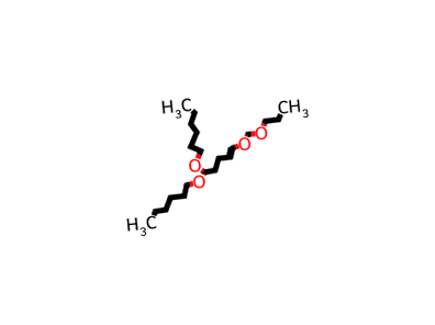 CCCCCCOC(CCC=COCOCCC)OCCCCCC